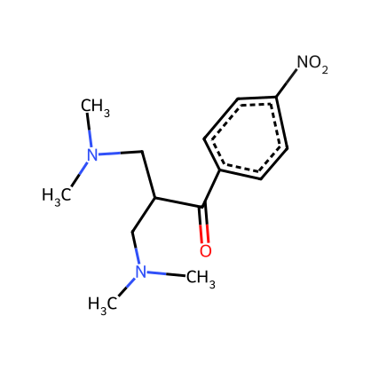 CN(C)CC(CN(C)C)C(=O)c1ccc([N+](=O)[O-])cc1